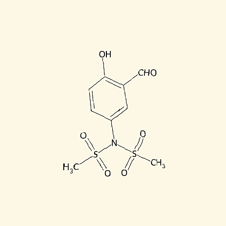 CS(=O)(=O)N(c1ccc(O)c(C=O)c1)S(C)(=O)=O